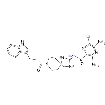 Nc1nc(N)c(C(=O)/C=C2\NCC3(CCN(C(=O)CCc4c[nH]c5ccccc45)CC3)N2)nc1Cl